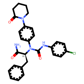 NC(=O)[C@H](Cc1ccccc1)N(C(=O)Nc1ccc(Cl)cc1)c1ccc(N2CCCCC2=O)cc1